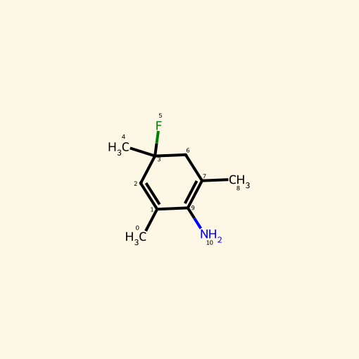 CC1=CC(C)(F)CC(C)=C1N